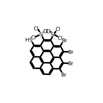 Sc1cc2ccc3ccc4c(Br)c(Br)c5c(Br)c(Br)c6c([Si](Cl)(Cl)Cl)c([Si](Cl)(Cl)Cl)c1c1c2c3c4c5c61